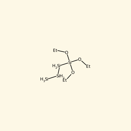 CCO[Si](OCC)(OCC)[SiH2][SiH2][SiH3]